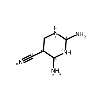 N#CC1CNC(N)NC1N